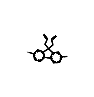 C=CCC1(CC=C)c2cc(Br)ccc2-c2ccc(I)cc21